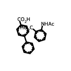 CC(=O)Nc1ccccc1C(=O)O.O=C(O)c1ccc(-c2ccccc2)cc1